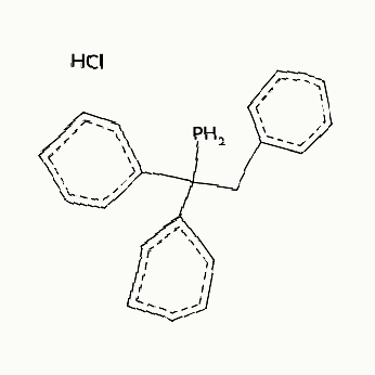 Cl.PC(Cc1ccccc1)(c1ccccc1)c1ccccc1